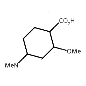 CNC1CCC(C(=O)O)C(OC)C1